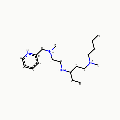 CCCCN(C)CCC(CC)NCCN(C)Cc1ccccn1